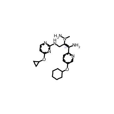 CN(N)/C(CNc1nccc(OC2CC2)n1)=C(\N)c1ccc(OC2CCCCC2)cn1